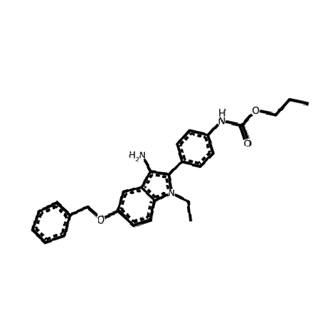 CCCOC(=O)Nc1ccc(-c2c(N)c3cc(OCc4ccccc4)ccc3n2CC)cc1